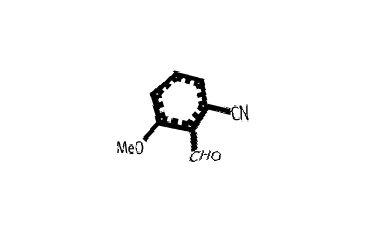 COc1cccc(C#N)c1C=O